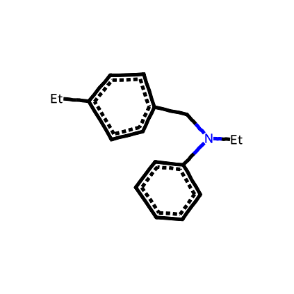 CCc1ccc(CN(CC)c2ccccc2)cc1